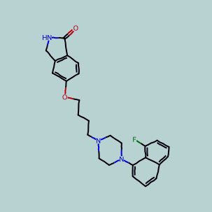 O=C1NCc2cc(OCCCCN3CCN(c4cccc5cccc(F)c45)CC3)ccc21